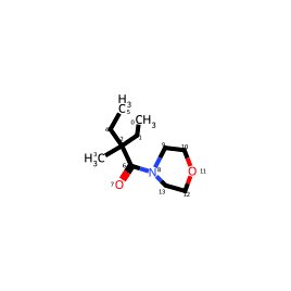 CCC(C)(CC)C(=O)N1CCOCC1